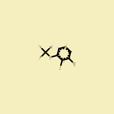 FC(F)(Br)Oc1cncc(Cl)c1I